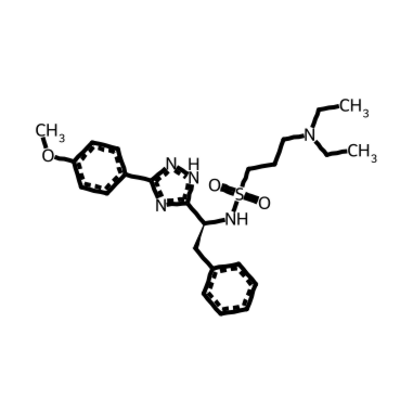 CCN(CC)CCCS(=O)(=O)N[C@@H](Cc1ccccc1)c1nc(-c2ccc(OC)cc2)n[nH]1